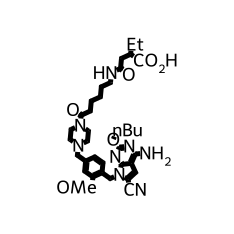 CCCCOc1nc(N)c2cc(C#N)n(Cc3ccc(CN4CCN(C(=O)CCCCCNC(=O)CC(CC)C(=O)O)CC4)cc3OC)c2n1